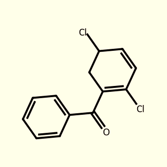 O=C(C1=C(Cl)C=CC(Cl)C1)c1ccccc1